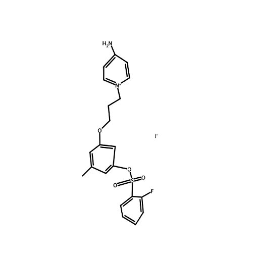 Cc1cc(OCCC[n+]2ccc(N)cc2)cc(OS(=O)(=O)c2ccccc2F)c1.[I-]